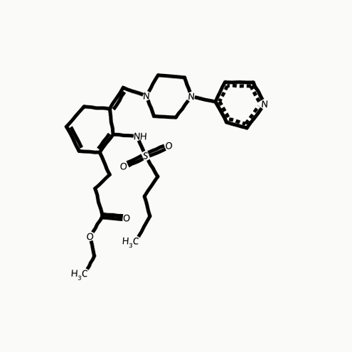 CCCCS(=O)(=O)NC1=C(CCC(=O)OCC)C=CCC1=CN1CCN(c2ccncc2)CC1